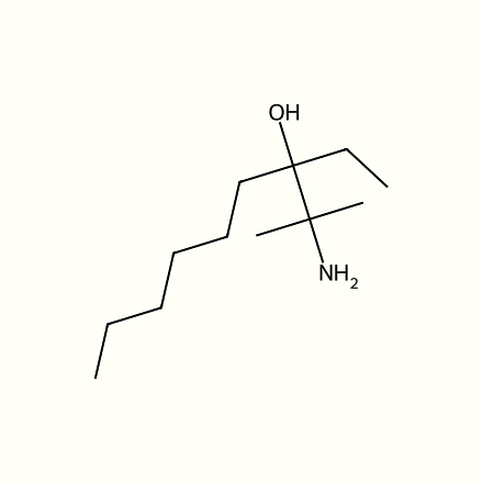 CCCCCCC(O)(CC)C(C)(C)N